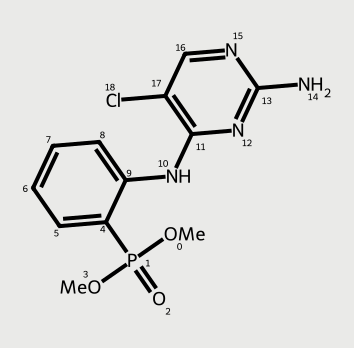 COP(=O)(OC)c1ccccc1Nc1nc(N)ncc1Cl